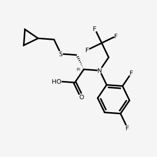 O=C(O)[C@H](CSCC1CC1)N(CC(F)(F)F)c1ccc(F)cc1F